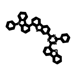 c1ccc(-c2nc(-c3ccc4c(c3)sc3c(-c5cccc6c5c5ccccc5n6-c5ccccc5)cccc34)nc(-c3cccc4c3oc3ccccc34)n2)cc1